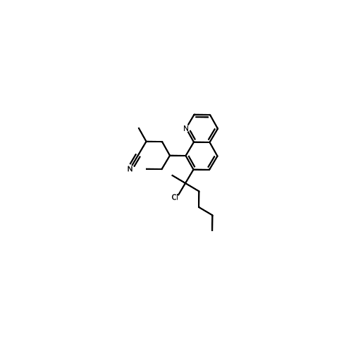 CCCCC(C)(Cl)c1ccc2cccnc2c1C(CC)CC(C)C#N